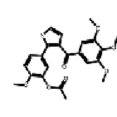 COc1ccc(-c2sccc2C(=O)c2cc(OC)c(OC)c(OC)c2)cc1OC(C)=O